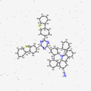 N#Cc1ccc2c(c1)c1ccccc1n2-c1c(-c2ccccc2)cc(-c2nc(-c3ccc4c(c3)sc3ccccc34)nc(-c3ccc4c(c3)sc3ccccc34)n2)cc1-c1ccccc1